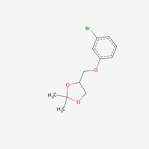 CC1(C)OCC(COc2cccc(Br)c2)O1